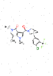 Cc1cn(C)c(=O)c2c(C(=O)N3CC4CC4(c4ccc(Cl)c(C(F)(F)F)c4)C3)cn(C)c12